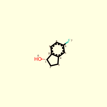 O[C@H]1CCc2cc(F)ccc21